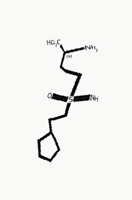 N=S(=O)(CCC1CCCC1)CC[C@H](N)C(=O)O